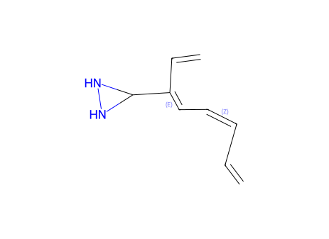 C=C/C=C\C=C(/C=C)C1NN1